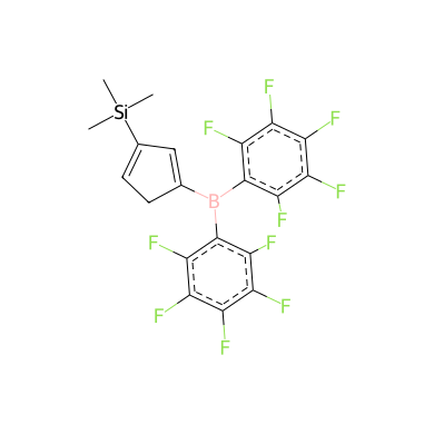 C[Si](C)(C)C1=CCC(B(c2c(F)c(F)c(F)c(F)c2F)c2c(F)c(F)c(F)c(F)c2F)=C1